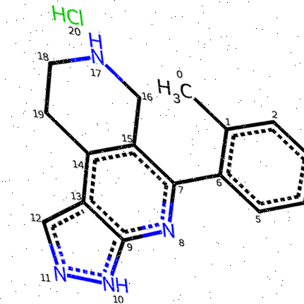 Cc1ccccc1-c1nc2[nH]ncc2c2c1CNCC2.Cl